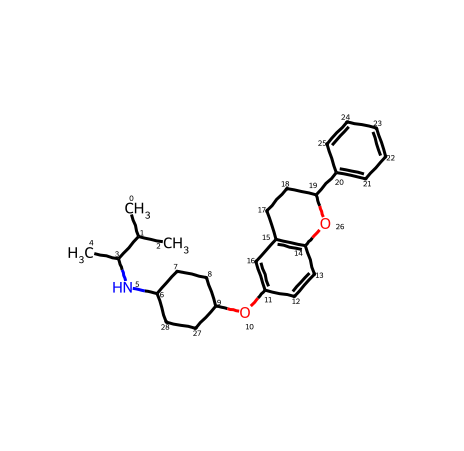 CC(C)C(C)NC1CCC(Oc2ccc3c(c2)CCC(c2ccccc2)O3)CC1